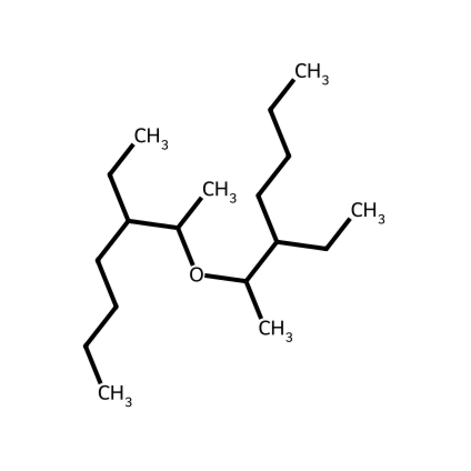 CCCCC(CC)C(C)OC(C)C(CC)CCCC